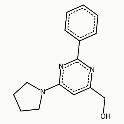 OCc1cc(N2CCCC2)nc(-c2ccccc2)n1